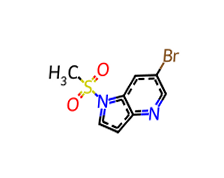 CS(=O)(=O)n1ccc2ncc(Br)cc21